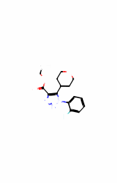 CCOC(=O)c1nnn(-c2ccccc2F)c1C1CCOCC1